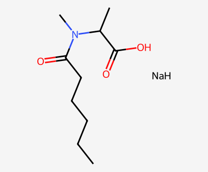 CCCCCC(=O)N(C)C(C)C(=O)O.[NaH]